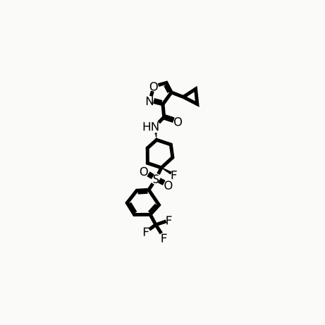 O=C(N[C@H]1CC[C@@](F)(S(=O)(=O)c2cccc(C(F)(F)F)c2)CC1)c1nocc1C1CC1